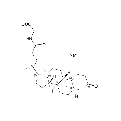 C[C@H](CCC(=O)NCC(=O)[O-])[C@H]1CC[C@H]2[C@@H]3CC[C@@H]4C[C@H](O)CC[C@]4(C)[C@H]3CC[C@]12C.[Na+]